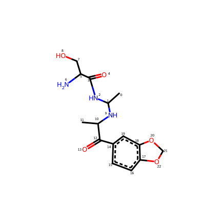 CC(NC(=O)C(N)CO)NC(C)C(=O)c1ccc2c(c1)OCO2